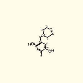 Cc1cc(O)c(CN2CCOCC2)cc1O